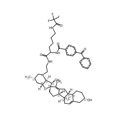 CC1=C2C[C@H]3[C@@H](CC=C4C[C@@H](O)CC[C@@]43C)[C@@H]2CC[C@]12O[C@@H]1C[C@H](C)CN(CCNC(=O)C(CCCCNC(=O)C(F)(F)F)NC(=O)c3ccc(C(=O)c4ccccc4)cc3)[C@H]1[C@H]2C